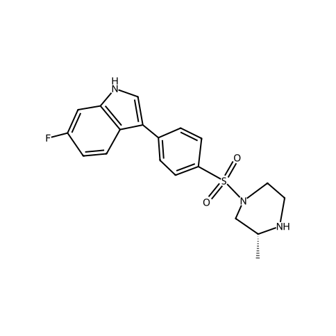 C[C@@H]1CN(S(=O)(=O)c2ccc(-c3c[nH]c4cc(F)ccc34)cc2)CCN1